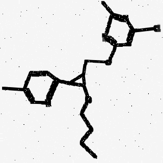 CCCCOC1C(COc2cc(Cl)nc(C)n2)C1c1ccc(C)cn1